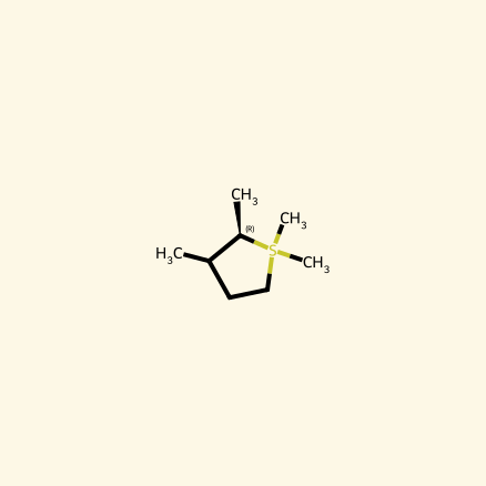 CC1CCS(C)(C)[C@@H]1C